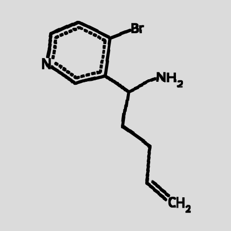 C=CCCC(N)c1cnccc1Br